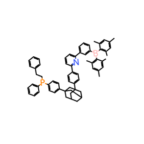 Cc1cc(C)c(B(c2cccc(-c3cccc(-c4ccc(C56CC7CC(C5)CC(c5ccc(P(CCc8ccccc8)c8ccccc8)cc5)(C7)C6)cc4)n3)c2)c2c(C)cc(C)cc2C)c(C)c1